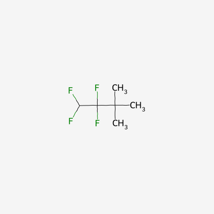 CC(C)(C)C(F)(F)C(F)F